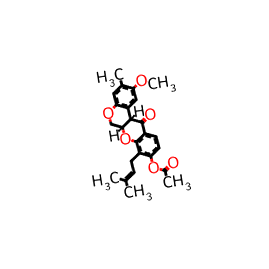 COc1cc2c(cc1C)OC[C@H]1Oc3c(ccc(OC(C)=O)c3CC=C(C)C)C(=O)[C@@H]21